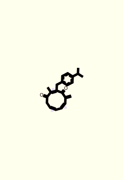 C=C1/C=C\C=C/CC(=O)/C(C)=C(/Cc2ccc(C(C)C)cc2)C1=O